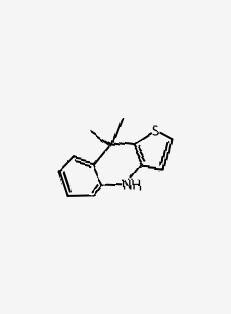 CC1(C)c2ccccc2Nc2ccsc21